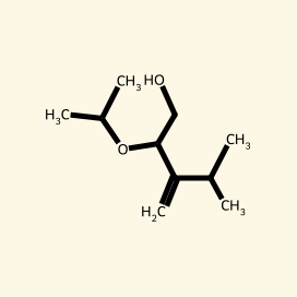 C=C(C(C)C)C(CO)OC(C)C